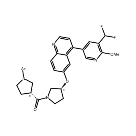 COc1ncc(-c2ccnc3ccc(O[C@H]4CCN(C(=O)[C@@H]5CCN(C(C)=O)C5)C4)cc23)cc1C(F)F